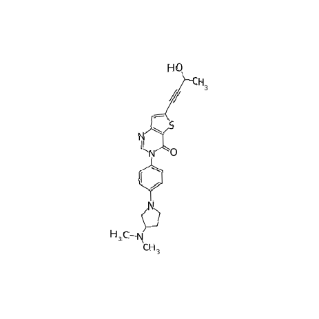 CC(O)C#Cc1cc2ncn(-c3ccc(N4CCC(N(C)C)C4)cc3)c(=O)c2s1